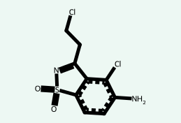 Nc1ccc2c(c1Cl)C(CCCl)=NS2(=O)=O